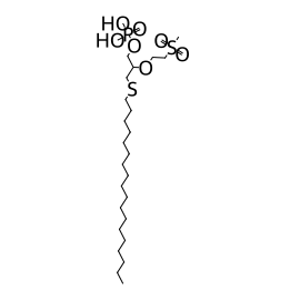 CCCCCCCCCCCCCCCCCCSCC(COP(=O)(O)O)OCCS(C)(=O)=O